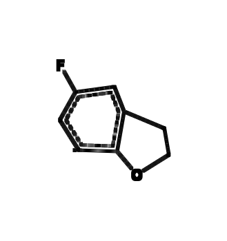 Fc1c[c]c2c(c1)CCO2